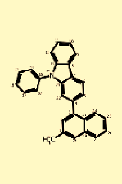 Cc1cc(-c2ccc3c4ccccc4n(-c4ccccc4)c3c2)c2ccccc2c1